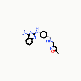 Cc1cc(CNC[C@H]2CC[C@@H](Nc3nc(N(C)C)c4ccccc4n3)CC2)no1